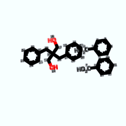 O=C(O)c1ccccc1.O=C(O)c1ccccc1.OCC(CO)(Cc1ccccc1)Cc1ccccc1